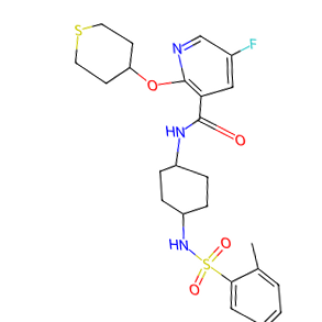 Cc1ccccc1S(=O)(=O)NC1CCC(NC(=O)c2cc(F)cnc2OC2CCSCC2)CC1